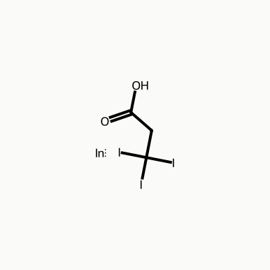 O=C(O)CC(I)(I)I.[In]